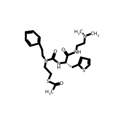 CC(=O)SCCN(CCc1ccccc1)C(=O)N[C@@H](Cc1cccs1)C(=O)NCCN(C)C